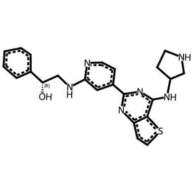 O[C@@H](CNc1cc(-c2nc(NC3CCNC3)c3sccc3n2)ccn1)c1ccccc1